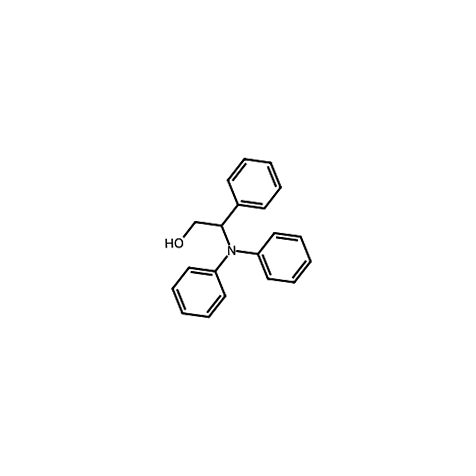 OCC(c1ccccc1)N(c1ccccc1)c1ccccc1